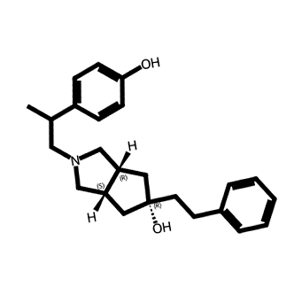 CC(CN1C[C@@H]2C[C@@](O)(CCc3ccccc3)C[C@@H]2C1)c1ccc(O)cc1